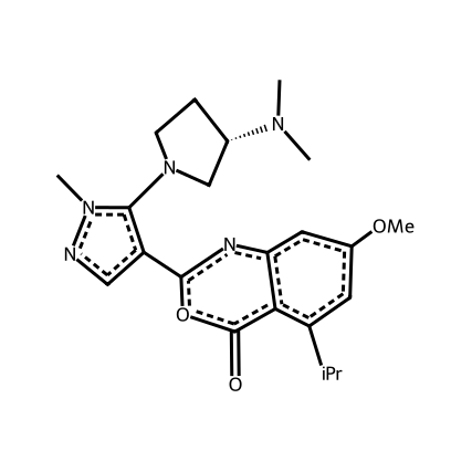 COc1cc(C(C)C)c2c(=O)oc(-c3cnn(C)c3N3CC[C@H](N(C)C)C3)nc2c1